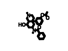 CC(=O)Oc1cccc(C23CCN(C)CC2C(O)CC(N(C)C(=O)c2ccccc2)C3)c1